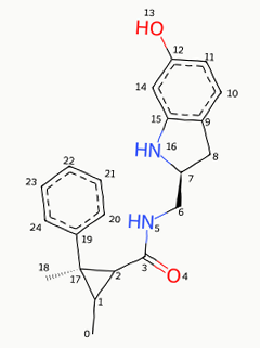 CC1C(C(=O)NC[C@@H]2Cc3ccc(O)cc3N2)[C@]1(C)c1ccccc1